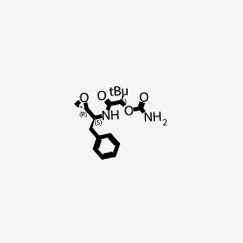 CC(C)(C)[C@H](OC(N)=O)C(=O)N[C@@H](Cc1ccccc1)[C@@H]1CO1